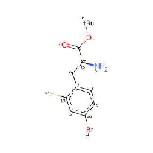 CC(C)(C)OC(=O)[C@@H](N)Cc1ccc(Br)cc1F